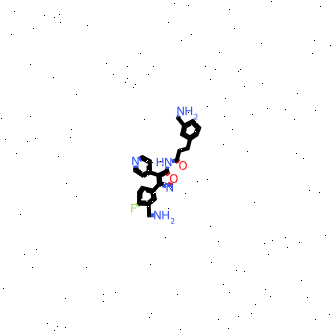 NCc1cccc(CCC(=O)Nc2onc(-c3ccc(F)c(CN)c3)c2-c2ccncc2)c1